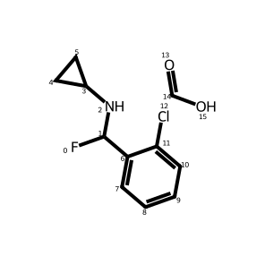 FC(NC1CC1)c1ccccc1Cl.O=CO